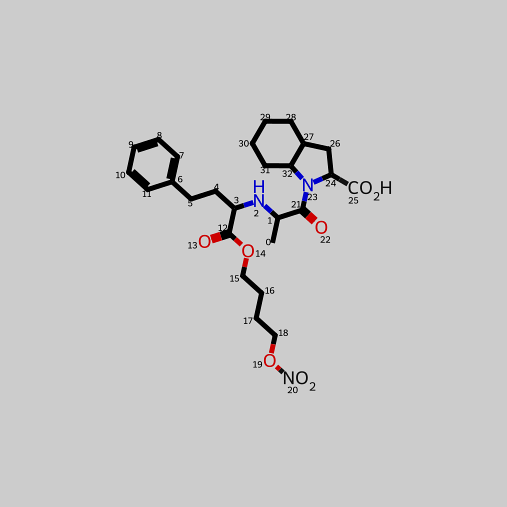 CC(NC(CCc1ccccc1)C(=O)OCCCCO[N+](=O)[O-])C(=O)N1C(C(=O)O)CC2CCCCC21